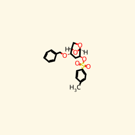 Cc1ccc(S(=O)(=O)O[C@H]2C[C@H](OCc3ccccc3)[C@H]3CO[C@@H]2O3)cc1